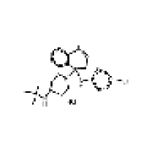 CC(C)(C)NC1CCN(C2(Nc3ccc(Cl)cc3)CC=Nc3ccccc32)CC1.Cl